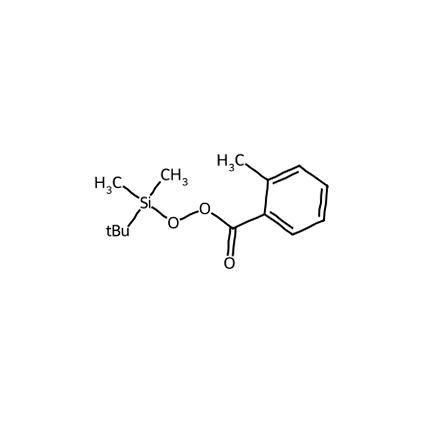 Cc1ccccc1C(=O)OO[Si](C)(C)C(C)(C)C